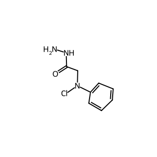 NNC(=O)CN(Cl)c1ccccc1